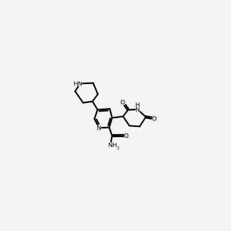 NC(=O)c1ncc(C2CCNCC2)cc1C1CCC(=O)NC1=O